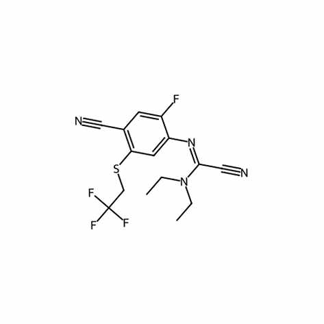 CCN(CC)C(C#N)=Nc1cc(SCC(F)(F)F)c(C#N)cc1F